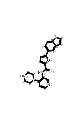 O=C(Nc1cnccc1N1CCNCC1)c1ccc(-c2ccc3sccc3c2)o1